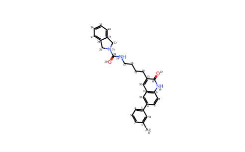 CC(=O)c1cccc(-c2ccc3[nH]c(=O)c(CCCCNC(=O)N4Cc5ccccc5C4)cc3c2)c1